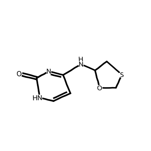 O=c1nc(NC2CSCO2)cc[nH]1